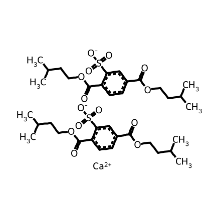 CC(C)CCOC(=O)c1ccc(C(=O)OCCC(C)C)c(S(=O)(=O)[O-])c1.CC(C)CCOC(=O)c1ccc(C(=O)OCCC(C)C)c(S(=O)(=O)[O-])c1.[Ca+2]